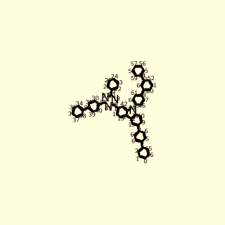 c1ccc(-c2ccc(-c3ccc4c(c3)c3ccc(-c5nc(-c6ccccc6)nc(-c6ccc(-c7ccccc7)cc6)n5)cc3n4-c3ccc(-c4cccc(-c5ccccc5)c4)cc3)cc2)cc1